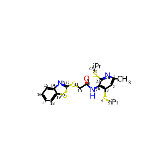 Cc1cc(SC(C)C)c(NC(=O)CSc2nc3ccccc3s2)c(SC(C)C)n1